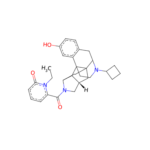 CCn1c(C(=O)N2C[C@H]3CC45CCC2C3C42CCN(C3CCC3)C5Cc3ccc(O)cc32)cccc1=O